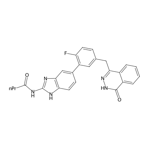 CCCC(=O)Nc1nc2cc(-c3cc(Cc4n[nH]c(=O)c5ccccc45)ccc3F)ccc2[nH]1